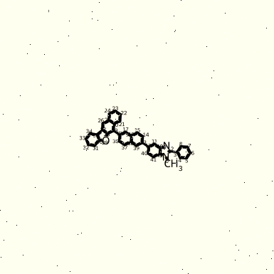 Cn1c(-c2ccccc2)nc2cc(-c3ccc4cc(-c5c6ccccc6cc6c5oc5ccccc56)ccc4c3)ccc21